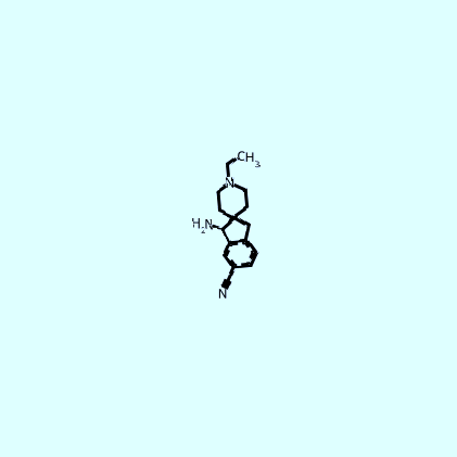 CCN1CCC2(CC1)Cc1ccc(C#N)cc1[C@H]2N